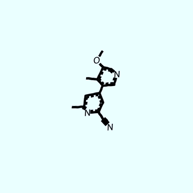 COc1cncc(-c2cc(C)nc(C#N)c2)c1C